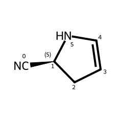 N#C[C@@H]1CC=CN1